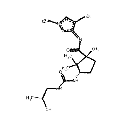 CCCCc1cn(C(C)(C)C)s/c1=N\C(=O)[C@]1(C)CC[C@H](NC(=O)NC[C@@H](C)O)C1(C)C